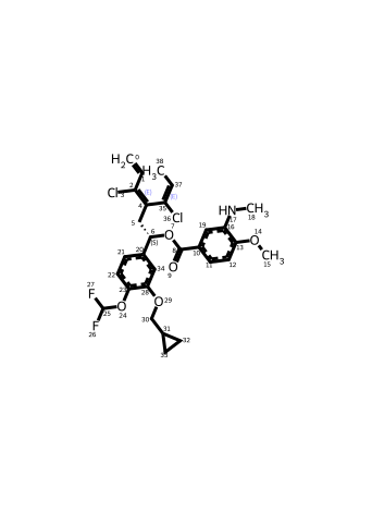 C=C/C(Cl)=C(C[C@H](OC(=O)c1ccc(OC)c(NC)c1)c1ccc(OC(F)F)c(OCC2CC2)c1)\C(Cl)=C/C